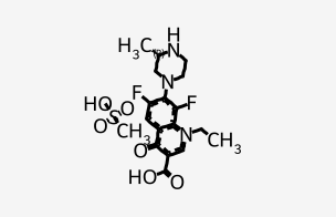 CCn1cc(C(=O)O)c(=O)c2cc(F)c(N3CCN[C@H](C)C3)c(F)c21.CS(=O)(=O)O